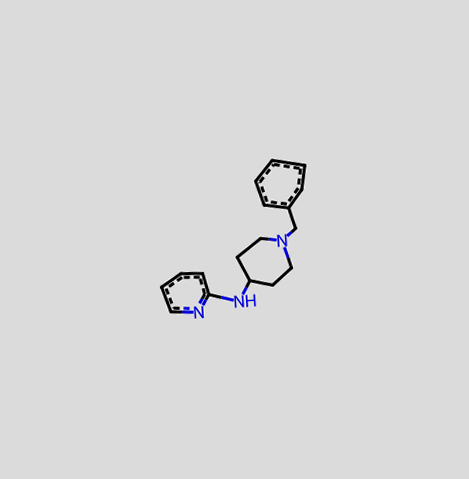 c1ccc(CN2CCC(Nc3ccccn3)CC2)cc1